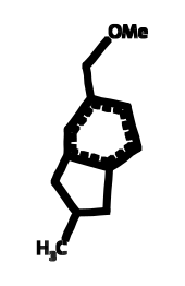 COCc1ccc2c(c1)CC(C)C2